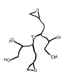 OCC(O)C(CC1CO1)OC(CC1CO1)C(O)CO